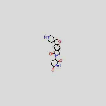 O=C1CCC(N2Cc3cc4c(cc3C2=O)C2(CCNCC2)CO4)C(=O)N1